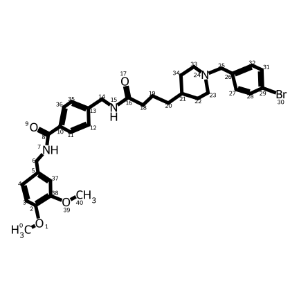 COc1ccc(CNC(=O)c2ccc(CNC(=O)CCCC3CCN(Cc4ccc(Br)cc4)CC3)cc2)cc1OC